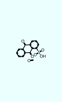 C=O.O=C1c2ccccc2C(=O)c2c1cccc2S(=O)(=O)O